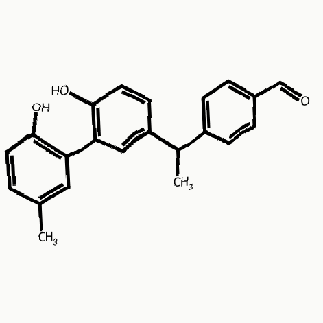 Cc1ccc(O)c(-c2cc(C(C)c3ccc(C=O)cc3)ccc2O)c1